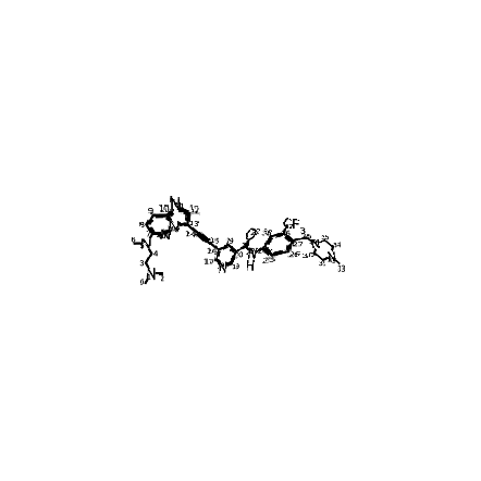 CN(C)CCN(C)c1ccc2ncc(C#Cc3cncc(C(=O)Nc4ccc(CN5CCN(C)CC5)c(C(F)(F)F)c4)c3)n2n1